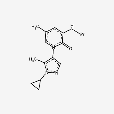 Cc1cc(NC(C)C)c(=O)n(-c2cnn(C3CC3)c2C)c1